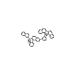 c1cc(-c2ccc3c(ccc4c(-c5ccc6ccccc6c5)nc5ccccc5c43)c2)cc(-n2c3c4ccccc4ccc3c3ccc4ccccc4c32)c1